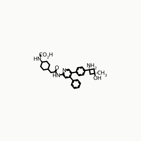 C[C@]1(O)C[C@@](N)(c2ccc(-c3cnc(NC(=O)CC4CCC(NC(=O)O)CC4)cc3-c3ccccc3)cc2)C1